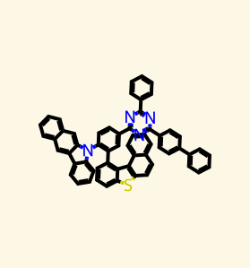 c1ccc(-c2ccc(-c3nc(-c4ccccc4)nc(-c4ccc(-n5c6ccccc6c6cc7ccccc7cc65)c(-c5cccc6sc7ccc8ccccc8c7c56)c4)n3)cc2)cc1